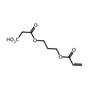 C=CC(=O)OCCCOC(=O)CC(=O)O